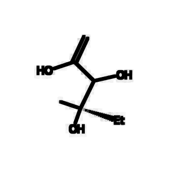 C=C(O)C(O)[C@](C)(O)CC